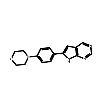 [c]1ncnc2[nH]c(-c3ccc(N4CCOCC4)cc3)cc12